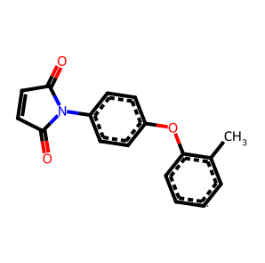 Cc1c[c]ccc1Oc1ccc(N2C(=O)C=CC2=O)cc1